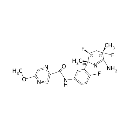 COc1cnc(C(=O)Nc2ccc(F)c([C@@]3(C)N=C(N)[C@@](C)(F)C[C@@H]3F)c2)cn1